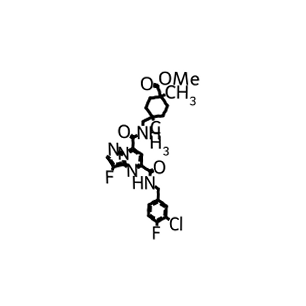 COC(=O)C1(C)CCC(C)(CNC(=O)c2cc(C(=O)NCc3ccc(F)c(Cl)c3)nc3c(F)cnn23)CC1